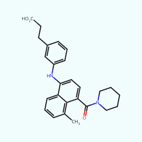 Cc1cccc2c(Nc3cccc(CCC(=O)O)c3)ccc(C(=O)N3CCCCC3)c12